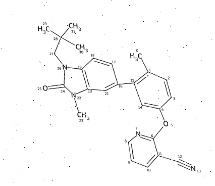 Cc1ccc(Oc2ncccc2C#N)cc1-c1ccc2c(c1)n(C)c(=O)n2CC(C)(C)C